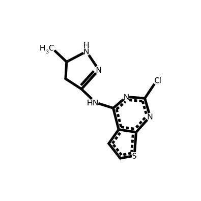 CC1CC(Nc2nc(Cl)nc3sccc23)=NN1